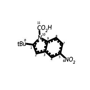 CC(C)(C)c1cc2cc([N+](=O)[O-])ccc2n1C(=O)O